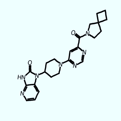 O=C(c1cc(N2CCC(n3c(=O)[nH]c4ncccc43)CC2)ncn1)N1CCC2(CCC2)C1